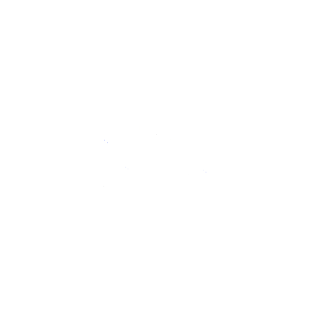 CC1CN(Cc2ccc(N3CCOCC3)cc2OC(F)(F)F)C(C(C)(C)C)CN1C(=O)O